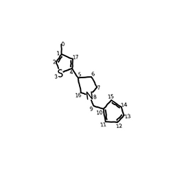 Cc1csc(C2CCN(Cc3ccccc3)C2)c1